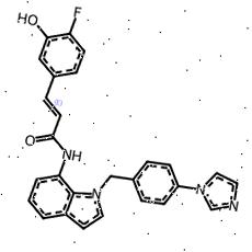 O=C(/C=C/c1ccc(F)c(O)c1)Nc1cccc2ccn(Cc3ccc(-n4ccnc4)cc3)c12